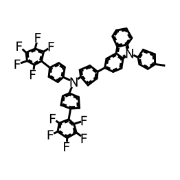 Cc1ccc(-n2c3ccccc3c3cc(-c4ccc(N(c5ccc(-c6c(F)c(F)c(F)c(F)c6F)cc5)c5ccc(-c6c(F)c(F)c(F)c(F)c6F)cc5)cc4)ccc32)cc1